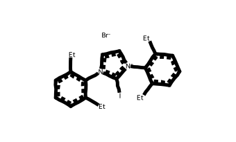 CCc1cccc(CC)c1-n1cc[n+](-c2c(CC)cccc2CC)c1I.[Br-]